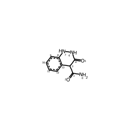 NC(=O)C1C(=O)NNc2ccccc21